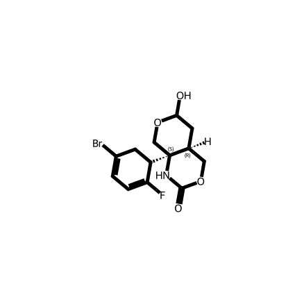 O=C1N[C@@]2(C3CC(Br)=CC=C3F)COC(O)C[C@H]2CO1